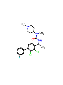 CC(NC(=O)N(C)C1CCN(C)CC1)c1ccc(-c2cccc(F)c2)c(Cl)c1Cl